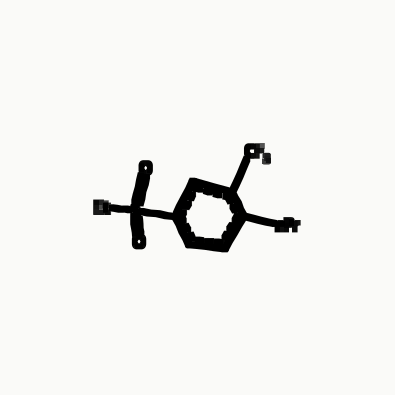 CCCc1ccc(S(=O)(=O)CC)cc1C(F)(F)F